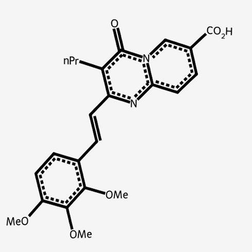 CCCc1c(C=Cc2ccc(OC)c(OC)c2OC)nc2ccc(C(=O)O)cn2c1=O